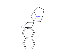 NCCN1C2C=C(c3ccc4ccccc4c3)CC1CC2